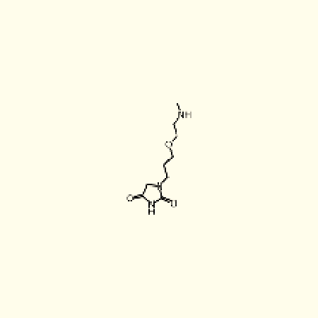 CNCCOCCCN1CC(=O)NC1=O